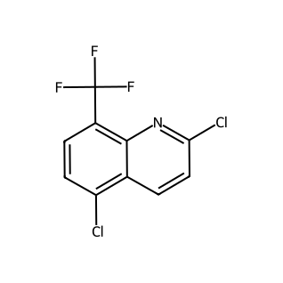 FC(F)(F)c1ccc(Cl)c2ccc(Cl)nc12